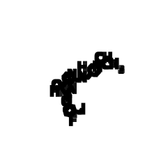 CC(C)N1CCC(CNCc2nccc3c(=O)[nH]c(COc4ccc(F)c(CI)c4)nc23)CC1